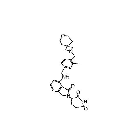 Cc1cc(CNc2cccc3c2C(=O)N(C2CCC(=O)NC2=O)C3)ccc1CN1CC2(CCOCC2)C1